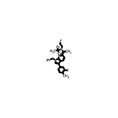 C=C(c1ccc2c(-c3ccc(C)c(F)c3)cn(CC(C)C)c2n1)N(CCF)C(C)(C)CC